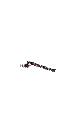 CCCCc1nc2c(N)nnc(OC(C)C)c2n1Cc1ccc(CNC(=O)C(C)(C)COCCOCCOCCOCCOCCOCCOCCOCCOCCOCCOCCOCCOCCOCCOCCOCCOCCOCCOCCOCCN=[N+]=[N-])cc1